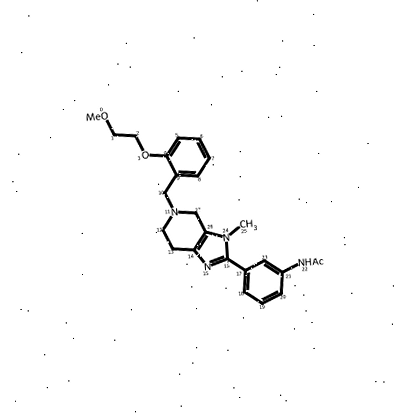 COCCOc1ccccc1CN1CCc2nc(-c3cccc(NC(C)=O)c3)n(C)c2C1